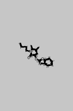 CCCCn1c(C)c(C)cc(Oc2nc3ccccc3o2)c1=O